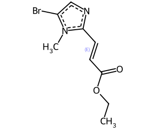 CCOC(=O)/C=C/c1ncc(Br)n1C